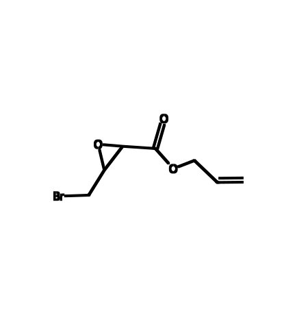 C=CCOC(=O)C1OC1CBr